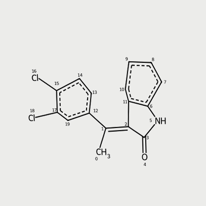 C/C(=C1\C(=O)Nc2ccccc21)c1ccc(Cl)c(Cl)c1